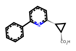 O=C(O)[C@H]1C[C@H]1c1cccc(-c2ccccc2)n1